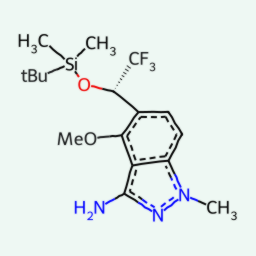 COc1c([C@H](O[Si](C)(C)C(C)(C)C)C(F)(F)F)ccc2c1c(N)nn2C